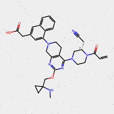 C=CC(=O)N1CCN(c2nc(OCC3(NC)CC3)nc3c2CCN(c2cc(CC(=O)O)cc4ccccc24)C3)C[C@@H]1CC#N